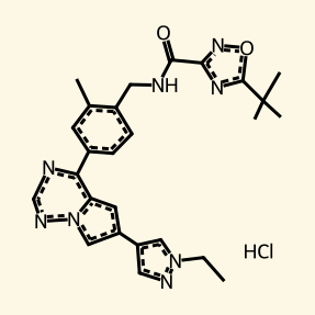 CCn1cc(-c2cc3c(-c4ccc(CNC(=O)c5noc(C(C)(C)C)n5)c(C)c4)ncnn3c2)cn1.Cl